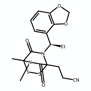 CC[C@H](c1cccc2c1OCO2)N1C(=O)C2(C)SSC1(CCC#N)C(=O)N2C